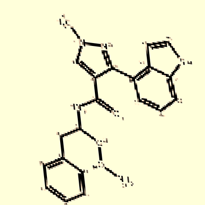 Cn1cc(C(=O)NC(Cc2ccccc2)OON)c(-c2cccc3sccc23)n1